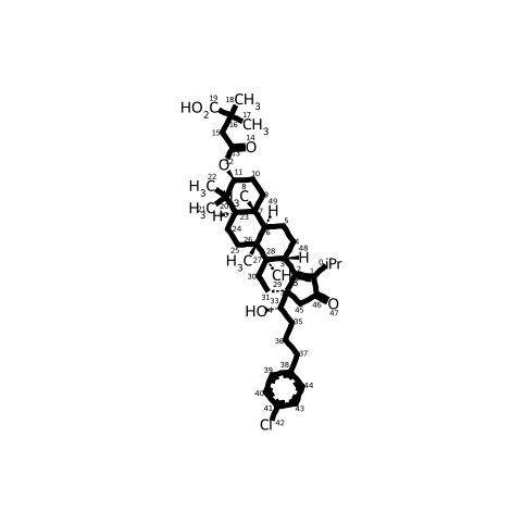 CC(C)C1=C2[C@H]3CC[C@@H]4[C@@]5(C)CC[C@H](OC(=O)CC(C)(C)C(=O)O)C(C)(C)[C@@H]5CC[C@@]4(C)[C@]3(C)CC[C@@]2([C@@H](O)CCCc2ccc(Cl)cc2)CC1=O